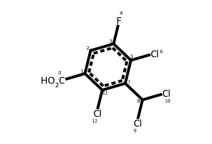 O=C(O)c1cc(F)c(Cl)c(C(Cl)Cl)c1Cl